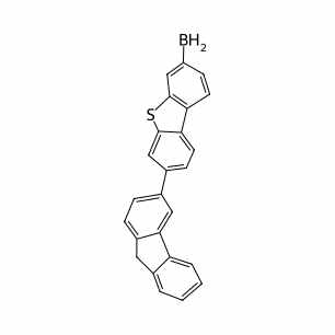 Bc1ccc2c(c1)sc1cc(-c3ccc4c(c3)-c3ccccc3C4)ccc12